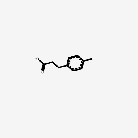 Cc1ccc(CCC([O])=O)cc1